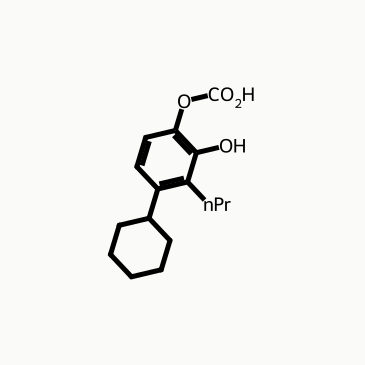 CCCc1c(C2CCCCC2)ccc(OC(=O)O)c1O